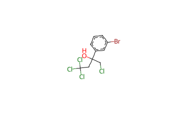 OC(CCl)(CC(Cl)(Cl)Cl)c1cccc(Br)c1